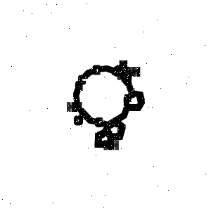 O=C1CCc2c(ccc3[nH]ccc23)CC2=CC=CS(=C2)c2nc(n[nH]2)CCCCCCN1